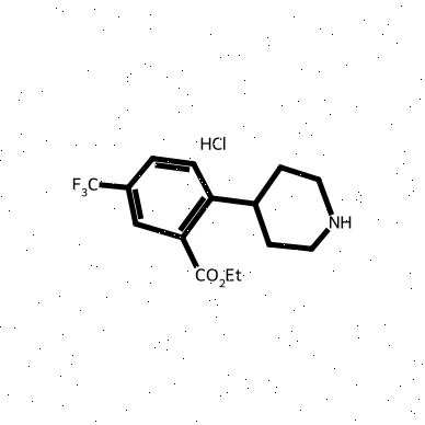 CCOC(=O)c1cc(C(F)(F)F)ccc1C1CCNCC1.Cl